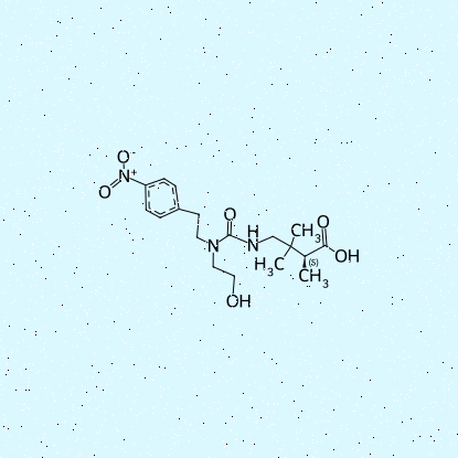 C[C@H](C(=O)O)C(C)(C)CNC(=O)N(CCO)CCc1ccc([N+](=O)[O-])cc1